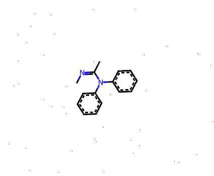 C/N=C(/C)N(c1ccccc1)c1ccccc1